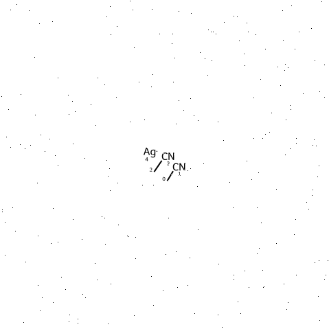 CC#N.CC#N.[Ag]